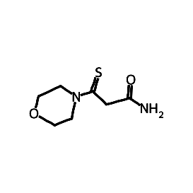 NC(=O)CC(=S)N1CCOCC1